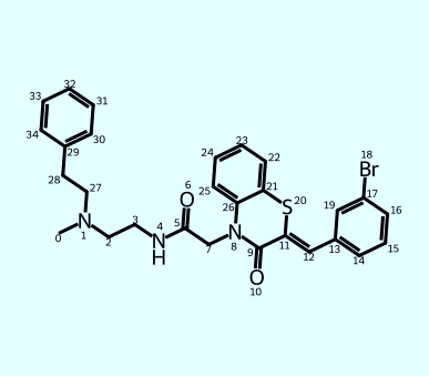 CN(CCNC(=O)CN1C(=O)C(=Cc2cccc(Br)c2)Sc2ccccc21)CCc1ccccc1